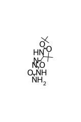 CC(C)(C)OC(=O)N[C@H](c1nnc(NC(N)=O)o1)C(C)(C)C